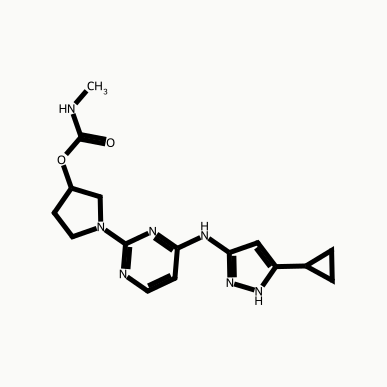 CNC(=O)OC1CCN(c2nccc(Nc3cc(C4CC4)[nH]n3)n2)C1